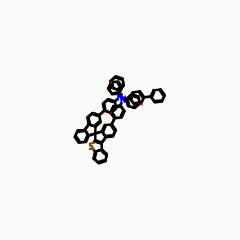 c1ccc(-c2ccc(N(c3ccccc3)c3ccc(-c4ccc5c(c4)C4(c6ccccc6-c6ccc(-c7ccc(N(c8ccccc8)c8ccccc8)cc7)cc64)c4sc6ccccc6c4-5)cc3)cc2)cc1